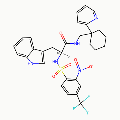 C[C@@](Cc1c[nH]c2ccccc12)(NS(=O)(=O)c1ccc(C(F)(F)F)cc1[N+](=O)[O-])C(=O)NCC1(c2ccccn2)CCCCC1